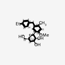 CCc1ccc(Cc2cc([C@@H]3S[C@H](CO)C[C@H](O)[C@H]3O)c(OC)cc2C)cc1